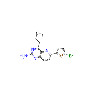 CCCc1nc(N)nc2ccc(-c3ccc(Br)s3)nc12